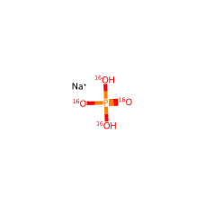 [16O]=P([16O-])([16OH])[16OH].[Na+]